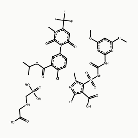 CC(C)OC(=O)c1cc(-n2c(=O)cc(C(F)(F)F)n(C)c2=O)ccc1Cl.COc1cc(OC)nc(NC(=O)NS(=O)(=O)c2c(C(=O)O)c(Cl)nn2C)n1.O=C(O)CNCP(=O)(O)O